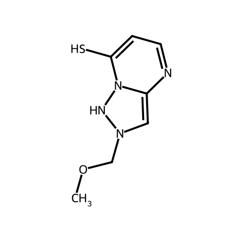 COCN1C=C2N=CC=C(S)N2N1